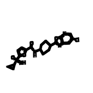 N=S(=O)(c1ccc(C(=O)NC2CCC(c3nc4cc(Cl)cnc4o3)CC2)o1)C1CC1